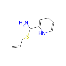 C=CCSC(N)C1=CCC=CN1